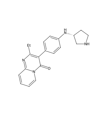 CCc1nc2ccccn2c(=O)c1-c1ccc(N[C@@H]2CCNC2)cc1